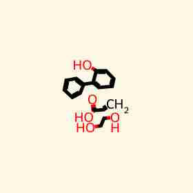 C=CC(=O)O.OCCO.Oc1ccccc1-c1ccccc1